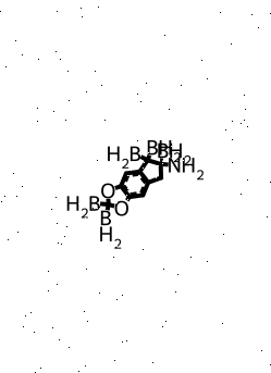 BC1(B)Oc2cc3c(cc2O1)C(B)(B)[C@](B)(N)C3